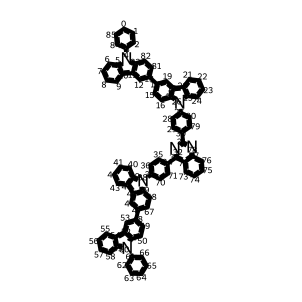 c1ccc(-n2c3ccccc3c3cc(-c4ccc5c(c4)c4ccccc4n5-c4ccc(-c5nc(-c6ccc(-n7c8ccccc8c8cc(-c9ccc%10c(c9)c9ccccc9n%10-c9ccccc9)ccc87)cc6)c6ccccc6n5)cc4)ccc32)cc1